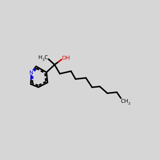 CCCCCCCCCC(C)(O)c1cccnc1